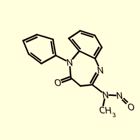 CN(N=O)C1=Nc2ccccc2N(c2ccccc2)C(=O)C1